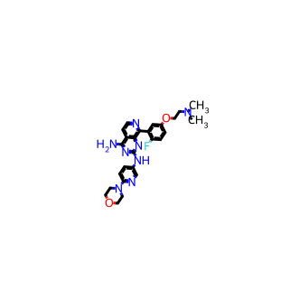 CN(C)CCOc1ccc(F)c(-c2nccc3c(N)nc(Nc4ccc(N5CCOCC5)nc4)nc23)c1